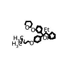 CCC(c1ccccc1)C(O)(c1ccc(OCCN(C)C)cc1)c1cccc(OC2CCCCO2)c1